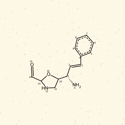 N[C@@H](C=Cc1ccccc1)C1CNC(C=O)O1